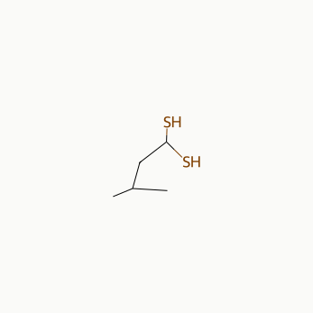 CC(C)CC(S)S